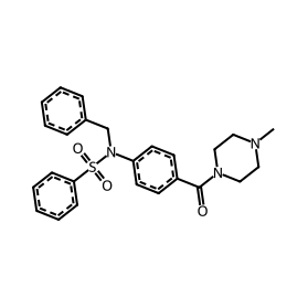 CN1CCN(C(=O)c2ccc(N(Cc3ccccc3)S(=O)(=O)c3ccccc3)cc2)CC1